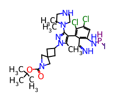 Cc1c(-c2c(Cl)c(Cl)cc(NPI)c2C=N)c(N2CCNCC2(C)C)nn1C1CC2(C1)CN(C(=O)OC(C)(C)C)C2